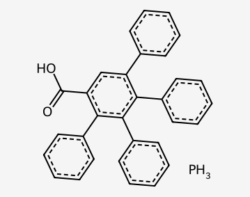 O=C(O)c1cc(-c2ccccc2)c(-c2ccccc2)c(-c2ccccc2)c1-c1ccccc1.P